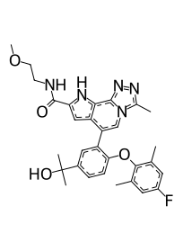 COCCNC(=O)c1cc2c(-c3cc(C(C)(C)O)ccc3Oc3c(C)cc(F)cc3C)cn3c(C)nnc3c2[nH]1